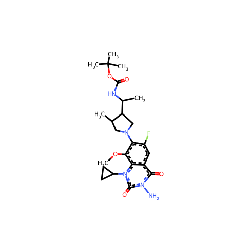 COc1c(N2CC(C)C(C(C)NC(=O)OC(C)(C)C)C2)c(F)cc2c(=O)n(N)c(=O)n(C3CC3)c12